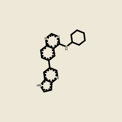 c1nc(NC2CCCCC2)c2cc(-c3cnc4cc[nH]c4c3)ccc2n1